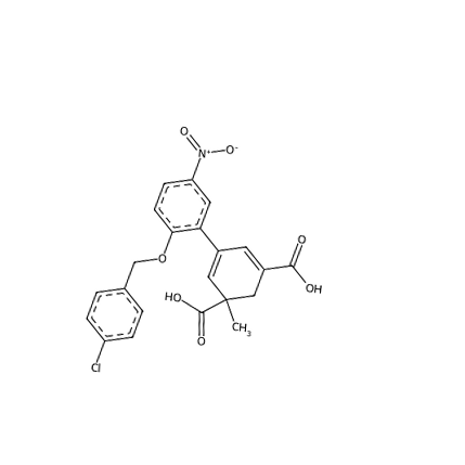 CC1(C(=O)O)C=C(c2cc([N+](=O)[O-])ccc2OCc2ccc(Cl)cc2)C=C(C(=O)O)C1